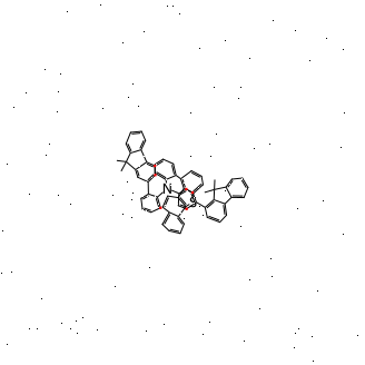 CC1(C)c2ccccc2-c2ccc(-c3ccccc3N(c3ccc(-c4cccc5c4C(C)(C)c4ccccc4-5)cc3)c3ccccc3-c3cccc4sc5c6ccccc6ccc5c34)cc21